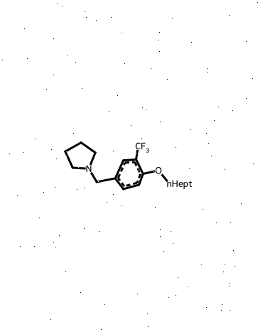 CCCCCCCOc1ccc(CN2CCCC2)cc1C(F)(F)F